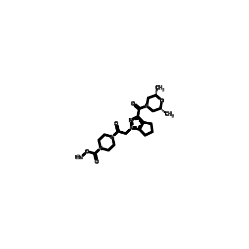 C[C@@H]1CN(C(=O)c2nn(CC(=O)N3CCN(C(=O)OC(C)(C)C)CC3)c3c2CCC3)C[C@H](C)O1